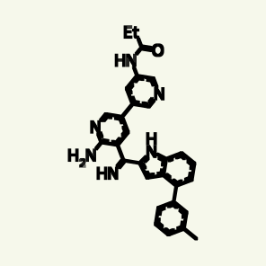 CCC(=O)Nc1cncc(-c2cnc(N)c(C(=N)c3cc4c(-c5cccc(C)c5)cccc4[nH]3)c2)c1